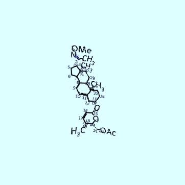 CO/N=C(\C)[C@H]1CCC2C3CC=C4C[C@@H](OC5C=C[C@H](C)[C@@H](COC(C)=O)O5)CC[C@]4(C)C3CC[C@@]21C